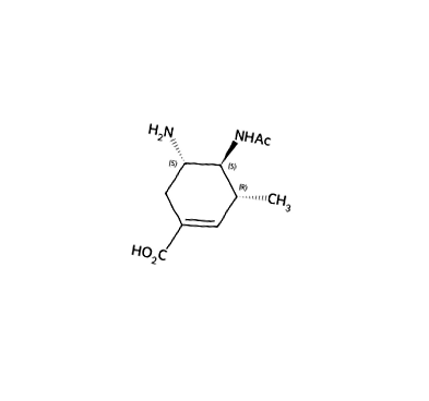 CC(=O)N[C@H]1[C@H](C)C=C(C(=O)O)C[C@@H]1N